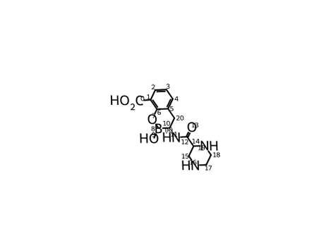 O=C(O)c1cccc2c1OB(O)[C@@H](NC(=O)C1CNCCN1)C2